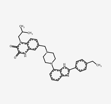 CCc1ccc(-c2nc3cccc(N4CCN(Cc5ccc6c(c5)[nH]c(=O)c(=O)n6CC(C)C)CC4)c3[nH]2)cc1